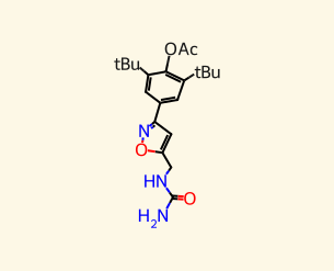 CC(=O)Oc1c(C(C)(C)C)cc(-c2cc(CNC(N)=O)on2)cc1C(C)(C)C